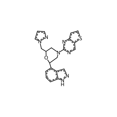 c1cc(C2CN(c3ncc4sccc4n3)CC(Cn3cccn3)O2)c2cn[nH]c2c1